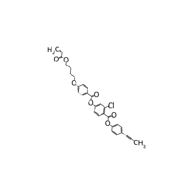 C=CC(=O)OCCCCOc1ccc(C(=O)Oc2ccc(C(=O)Oc3ccc(C#CC)cc3)c(Cl)c2)cc1